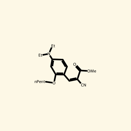 CCCCCOc1cc(N(CC)CC)ccc1/C=C(/C#N)C(=O)OC